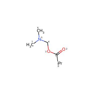 CC(C)C(=O)OCN(C)C